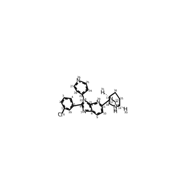 Clc1cccc(-c2nc3ccc(N4C[C@H]5CC[C@@H]4CN5)nc3n2-c2ccncc2)c1